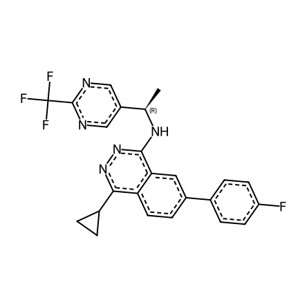 C[C@@H](Nc1nnc(C2CC2)c2ccc(-c3ccc(F)cc3)cc12)c1cnc(C(F)(F)F)nc1